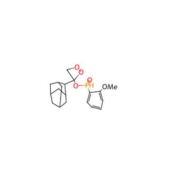 COc1ccccc1[PH](=O)OC1(C2C3CC4CC(C3)CC2C4)COO1